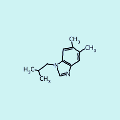 Cc1cc2ncn(CC(C)C)c2cc1C